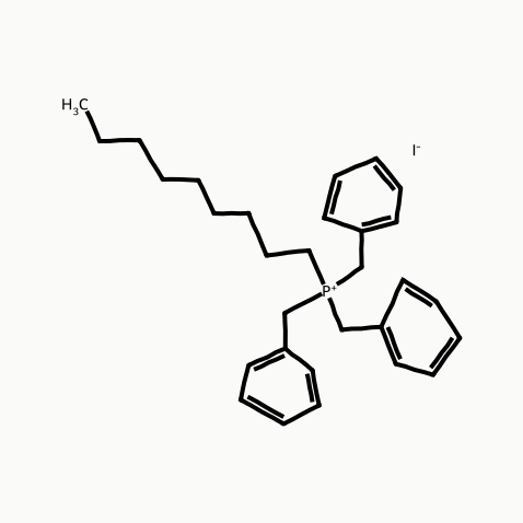 CCCCCCCCC[P+](Cc1ccccc1)(Cc1ccccc1)Cc1ccccc1.[I-]